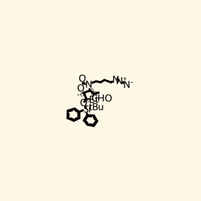 CC[C@@H](O[Si](c1ccccc1)(c1ccccc1)C(C)(C)C)[C@@]1(C)OC(=O)N(CCCCN=[N+]=[N-])[C@@H]1[C@@H](C)C=O